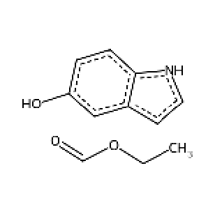 CCOC=O.Oc1ccc2[nH]ccc2c1